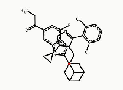 CCC(=O)c1cc(F)c2nc(N3CC4CC(C3)C4OCC3=C(C4CC4)CN=C3c3c(Cl)cccc3Cl)sc2c1